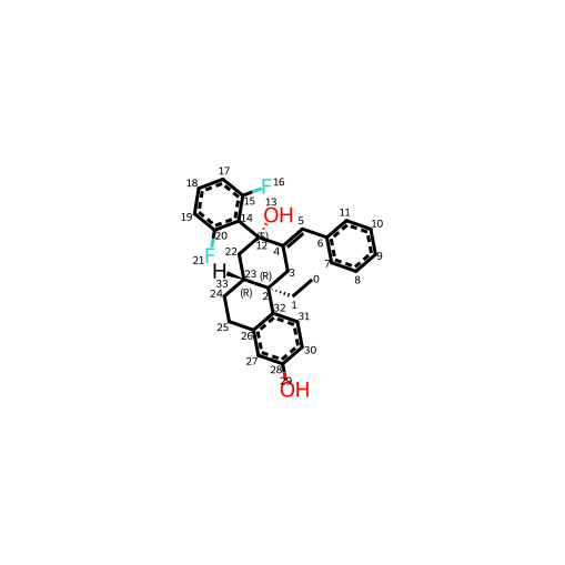 CC[C@@]12CC(=Cc3ccccc3)[C@](O)(c3c(F)cccc3F)C[C@H]1CCc1cc(O)ccc12